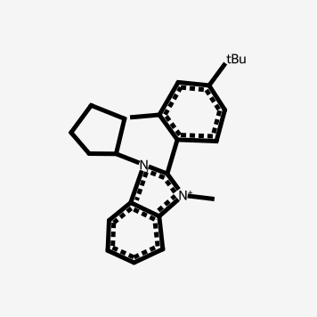 Cc1cc(C(C)(C)C)ccc1-c1n(C2CCCC2)c2ccccc2[n+]1C